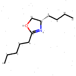 CCCCCC1=N[C@@H](CCCC)CO1